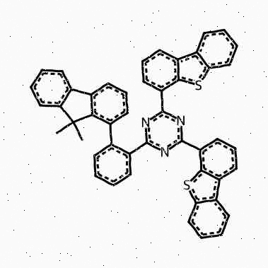 CC1(C)c2ccccc2-c2cccc(-c3ccccc3-c3nc(-c4cccc5c4sc4ccccc45)nc(-c4cccc5c4sc4ccccc45)n3)c21